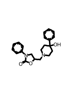 O=C1OC(CN2CCC(O)(c3ccccc3)CC2)CN1c1ccccc1